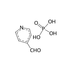 O=Cc1ccncc1.O=P(O)(O)O